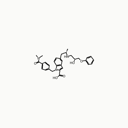 C[C@H](Cc1ccc2c(c1)cc(C(=O)O)n2Cc1ccc(C(=O)N(C)C)cc1)NC[C@H](O)COc1ccccc1